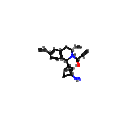 C#CC(=O)N1[C@@H](CCCC)Cc2cc(OC)ccc2[C@@H]1C1CC2(N)CC1C2